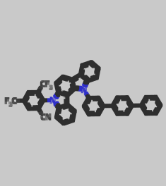 N#Cc1cc(C(F)(F)F)cc(C(F)(F)F)c1-n1c2ccccc2c2c1ccc1c3ccccc3n(-c3cccc(-c4ccc(-c5ccccc5)cc4)c3)c12